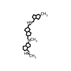 CNCC1CCCC2CC(N(C)CC3CCC4CC(CCNCC5CCC6C[C@H](C)CCC56)CCC4C3)CCC12